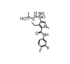 C[C@H](O)[C@H]1CCc2c(cn(C)c2C(=O)Nc2ccc(F)c(F)c2)S(=N)(=O)N1